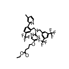 CCOC(=O)CCCOc1cnc(N(Cc2cc(C(F)(F)F)cc(C(F)(F)F)c2)Cc2cc(C(F)(F)F)ccc2-c2cc(C)ccn2)nc1